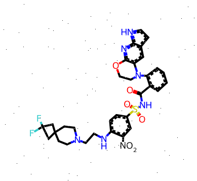 O=C(NS(=O)(=O)c1ccc(NCCN2CCC3(CC2)CC(F)(F)C3)c([N+](=O)[O-])c1)c1ccccc1N1CCOc2nc3[nH]ccc3cc21